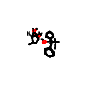 CO[C@H]1[C@H]2C(C)C[C@]1(CO[Si](c1ccccc1)(c1ccccc1)C(C)(C)C)O[C@H]2C